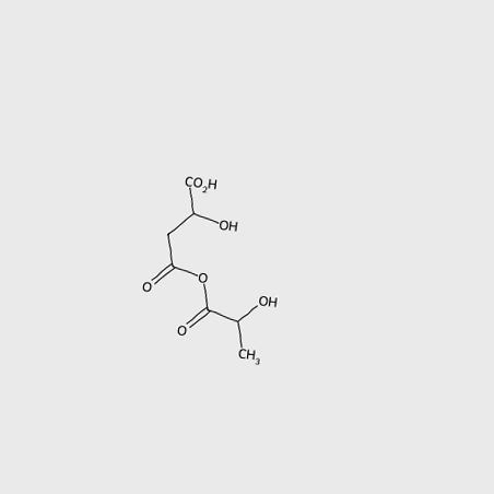 CC(O)C(=O)OC(=O)CC(O)C(=O)O